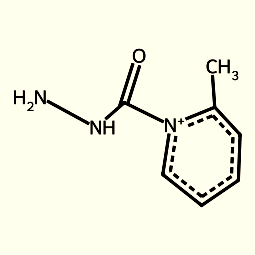 Cc1cccc[n+]1C(=O)NN